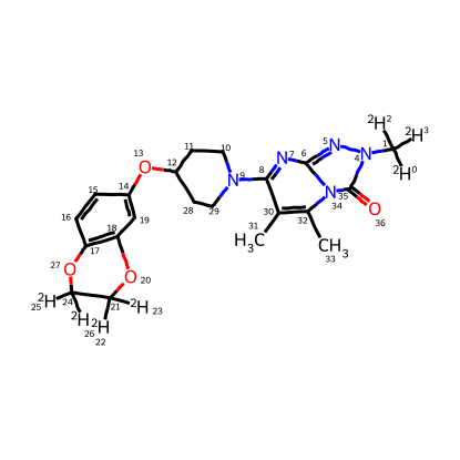 [2H]C([2H])([2H])n1nc2nc(N3CCC(Oc4ccc5c(c4)OC([2H])([2H])C([2H])([2H])O5)CC3)c(C)c(C)n2c1=O